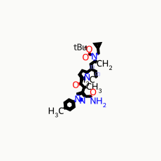 C=C(/C=C(\C=C/C)C1=NC(C(=O)C(C)c2cn(-c3ccc(C)cc3)nc2C(N)=O)=CC1)N(CC1CC1)C(=O)OC(C)(C)C